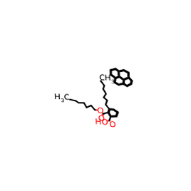 CCCCCCCCOC(=O)c1c(CCCCCCCC)cccc1C(=O)O.c1cc2ccc3cccc4ccc(c1)c2c34